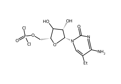 CCc1cn([C@@H]2O[C@H](COP(=O)(Cl)Cl)C(O)[C@@H]2O)c(=O)nc1N